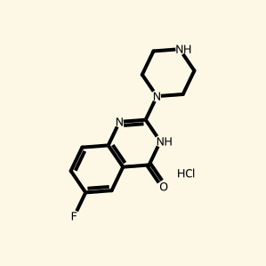 Cl.O=c1[nH]c(N2CCNCC2)nc2ccc(F)cc12